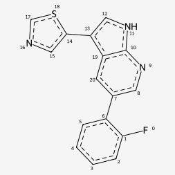 Fc1ccccc1-c1cnc2[nH]cc(-c3cncs3)c2c1